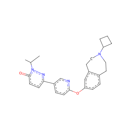 CC(C)n1nc(-c2ccc(Oc3ccc4c(c3)CCN(C3CCC3)CC4)nc2)ccc1=O